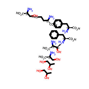 CC(O)CO.CC(O)CO.CSCC[C@H](N)C(=O)O.C[C@@H](O)[C@H](N)C(=O)O.N[C@@H](CO)C(=O)O.N[C@@H](CO)C(=O)O.N[C@@H](Cc1ccccc1)C(=O)O.N[C@@H](Cc1ccccc1)C(=O)O